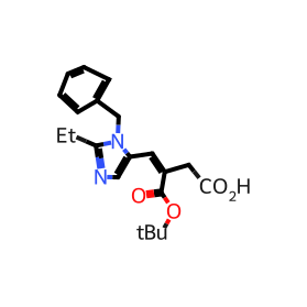 CCc1ncc(/C=C(/CC(=O)O)C(=O)OC(C)(C)C)n1Cc1ccccc1